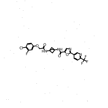 O=C(COc1ccc(Cl)c(F)c1)NC12CC(NC(=O)c3cnc(-c4ccc(C(F)(F)F)nc4)o3)(C1)C2